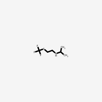 CC(C)NCCSC(F)(F)F